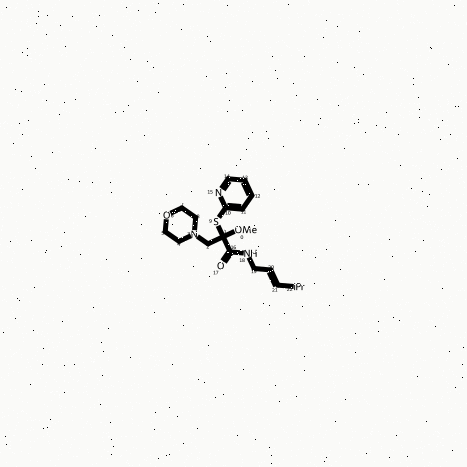 COC(CN1CCOCC1)(Sc1ccccn1)C(=O)NCC=CC(C)C